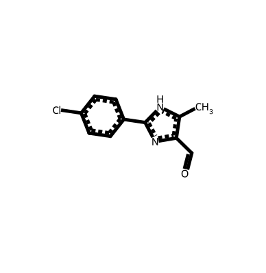 Cc1[nH]c(-c2ccc(Cl)cc2)nc1C=O